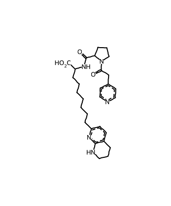 O=C(O)C(CCCCCCCc1ccc2c(n1)NCCC2)NC(=O)C1CCCN1C(=O)Cc1ccncc1